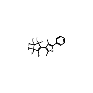 Cc1sc(-c2ccccc2)c(C)c1C1=C(F)C(F)(F)C(F)(F)C1(F)F